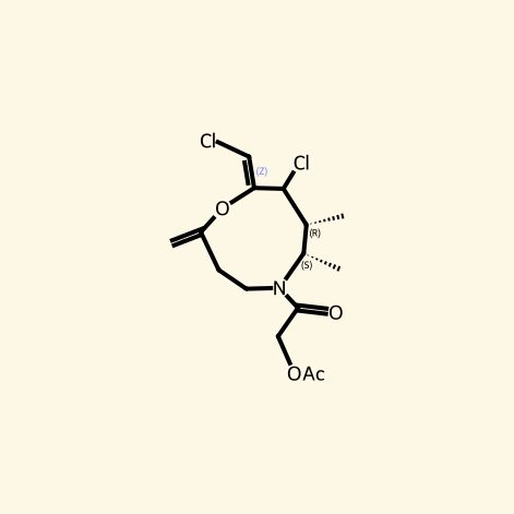 C=C1CCN(C(=O)COC(C)=O)[C@@H](C)[C@@H](C)C(Cl)/C(=C/Cl)O1